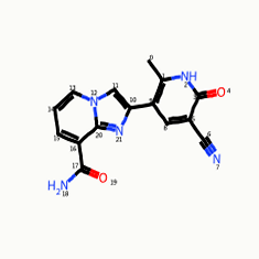 Cc1[nH]c(=O)c(C#N)cc1-c1cn2cccc(C(N)=O)c2n1